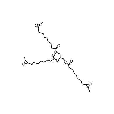 C[C@@H]1OC1CCCCCCCC(=O)OCC(COC(=O)CCCCCCCC1O[C@H]1C)OC(=O)CCCCCCCC1O[C@H]1C